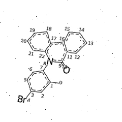 Cc1cc(Br)ccc1-n1c(=O)c2ccccc2c2ccccc21